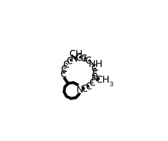 CN1CCCCCC2CCCCCCN(CCCN(C)CCNCCC1)CC2